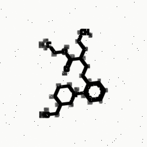 CCCC(CCc1ccccc1N1CCCC(CO)C1)C(=O)OCC